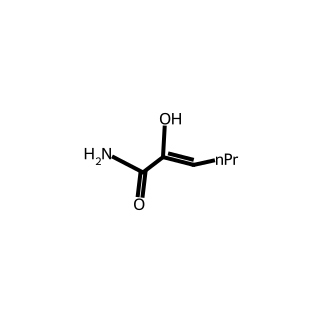 CCCC=C(O)C(N)=O